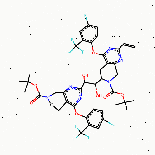 C=Cc1nc2c(c(Oc3ccc(F)cc3C(F)(F)F)n1)CC(C(O)C(O)c1nc3c(c(Oc4ccc(F)cc4C(F)(F)F)n1)CCN(C(=O)OC(C)(C)C)C3)N(C(=O)OC(C)(C)C)C2